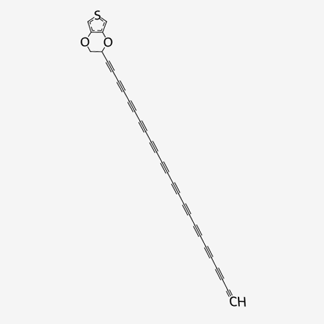 C#CC#CC#CC#CC#CC#CC#CC#CC#CC#CC#CC#CC1COc2cscc2O1